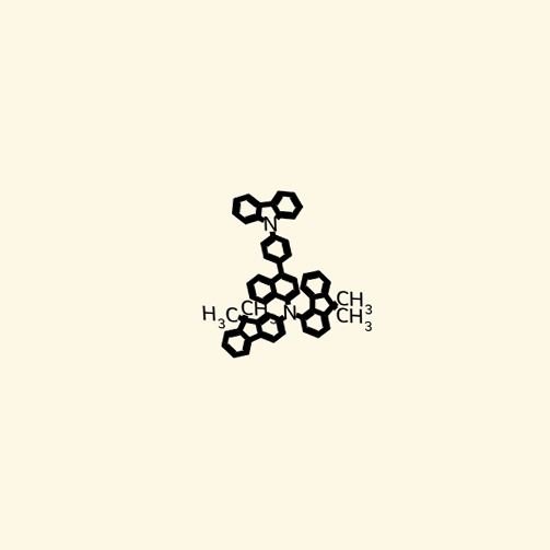 CC1(C)c2ccccc2-c2ccc(N(c3cccc4c3-c3ccccc3C4(C)C)c3ccc(-c4ccc(-n5c6ccccc6c6ccccc65)cc4)c4ccccc34)cc21